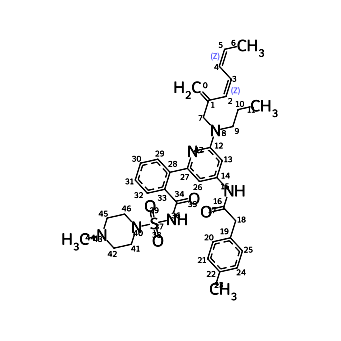 C=C(/C=C\C=C/C)CN(CCC)c1cc(NC(=O)Cc2ccc(C)cc2)cc(-c2ccccc2C(=O)NS(=O)(=O)N2CCN(C)CC2)n1